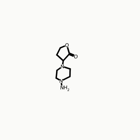 NN1CCN(C2CCOC2=O)CC1